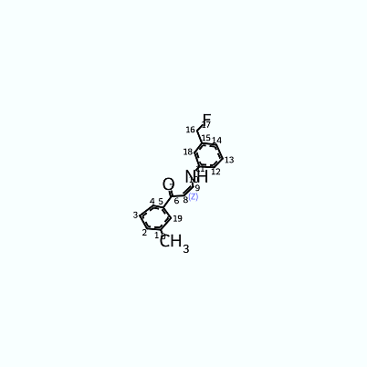 Cc1cccc(C(=O)/C=C\Nc2cccc(CF)c2)c1